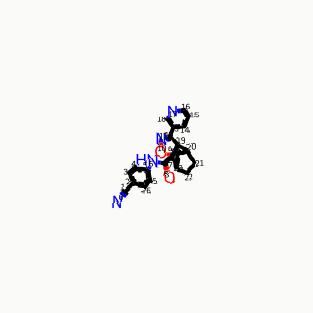 N#Cc1ccc(NC(=O)C23ON=C(c4cccnc4)C2C2CCC3C2)cc1